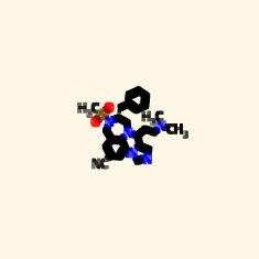 CN(C)CCC(c1cnc[nH]1)N1C[C@@H](Cc2ccccc2)N(S(C)(=O)=O)Cc2cc(C#N)ccc21